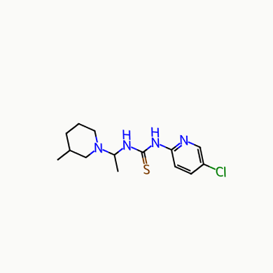 CC1CCCN(C(C)NC(=S)Nc2ccc(Cl)cn2)C1